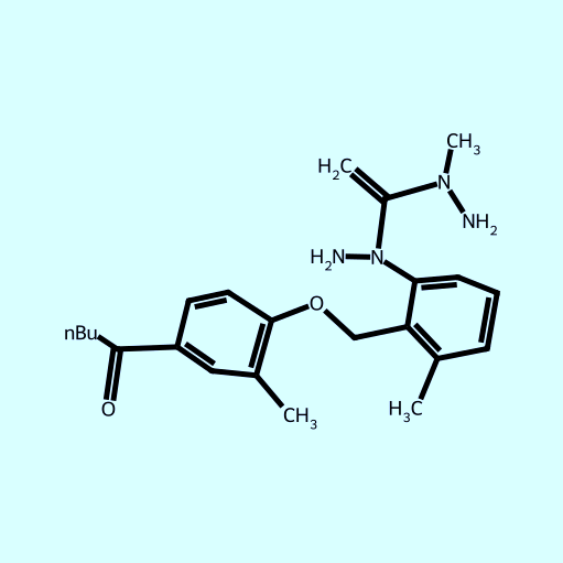 C=C(N(C)N)N(N)c1cccc(C)c1COc1ccc(C(=O)CCCC)cc1C